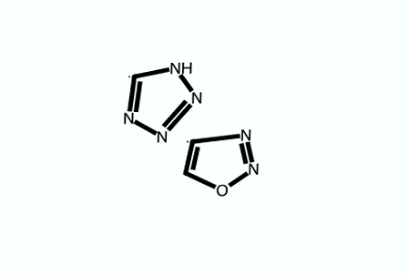 [c]1conn1.[c]1nnn[nH]1